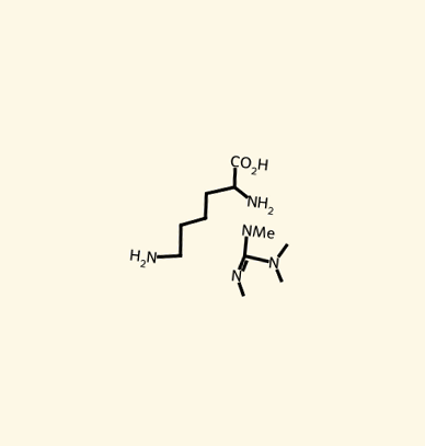 CN=C(NC)N(C)C.NCCCCC(N)C(=O)O